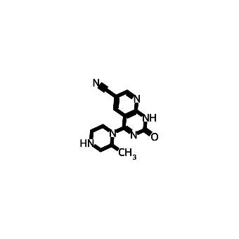 CC1CNCCN1c1nc(=O)[nH]c2ncc(C#N)cc12